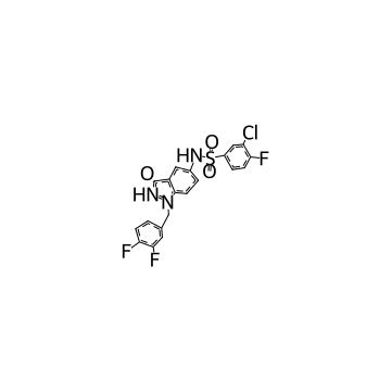 O=c1[nH]n(Cc2ccc(F)c(F)c2)c2ccc(NS(=O)(=O)c3ccc(F)c(Cl)c3)cc12